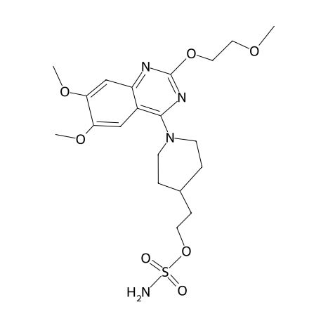 COCCOc1nc(N2CCC(CCOS(N)(=O)=O)CC2)c2cc(OC)c(OC)cc2n1